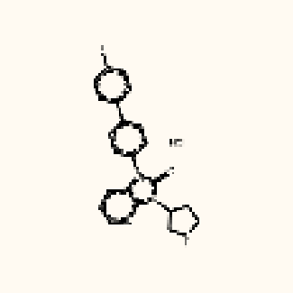 Cl.O=c1n(-c2ccc(-c3ccc(F)cc3)cc2)c2cccnc2n1C1CCNC1